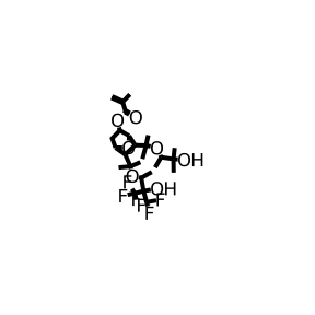 C=C(C)C(=O)OC1CC2OC1C(C(C)(C)OC(C)C(C)(C)O)C2C(C)(C)OC(C)C(O)(C(F)(F)F)C(F)(F)F